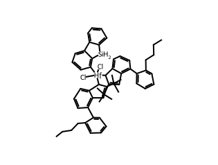 CCCCc1ccccc1-c1cccc2c1C=C(C(C)(C)C)[CH]2[Hf]([Cl])([Cl])([c]1cccc2c1[SiH2]c1ccccc1-2)[CH]1C(C(C)(C)C)=Cc2c(-c3ccccc3CCCC)cccc21